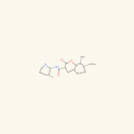 CCCc1c(OC)ccc2cc(C(=O)Nc3ncccc3C)c(=O)oc12